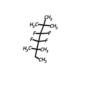 CCC(C)(C)C(F)(F)C(F)(F)C(C)(C)C